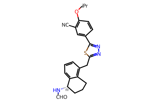 CC(C)Oc1ccc(-c2nnc(Cc3cccc4c3CCC[C@@H]4NC=O)s2)cc1C#N